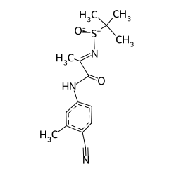 C/C(=N\[S@@+]([O-])C(C)(C)C)C(=O)Nc1ccc(C#N)c(C)c1